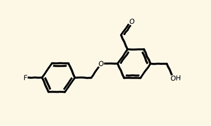 O=Cc1cc(CO)ccc1OCc1ccc(F)cc1